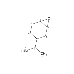 CCCCC(C)C1CCC2OC2C1